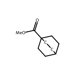 COC(=O)C12CC[C](CC1)CC2